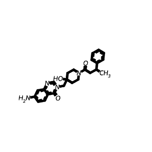 CC(CC(=O)N1CCC(O)(Cn2cnc3cc(N)ccc3c2=O)CC1)c1ccccc1